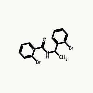 CC(NC(=O)c1ccccc1Br)c1ccccc1Br